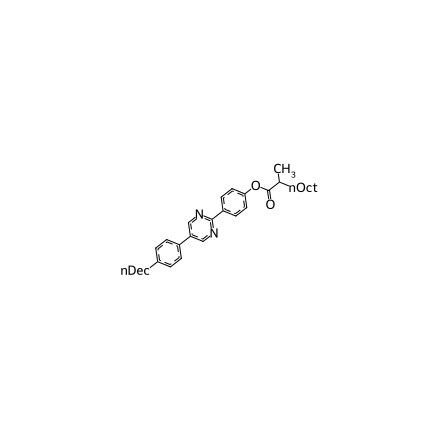 CCCCCCCCCCc1ccc(-c2cnc(-c3ccc(OC(=O)C(C)CCCCCCCC)cc3)nc2)cc1